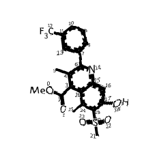 COC(=O)c1c(C)c(-c2cccc(C(F)(F)F)c2)nc2cc(O)c(S(C)(=O)=O)c(C)c12